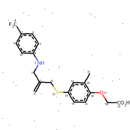 C=C(CNc1ccc(C(F)(F)F)cc1)CSc1ccc(OCC(=O)O)c(C)c1